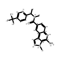 CC(c1ccc(C(F)(F)F)cn1)N(C)C(=O)c1ccc2nc(N)c3c(cnn3C)c2c1